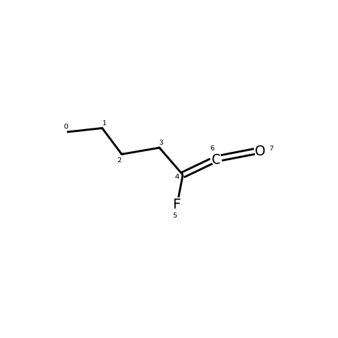 CCCCC(F)=C=O